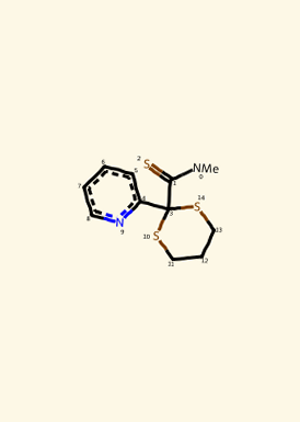 CNC(=S)C1(c2ccccn2)SCCCS1